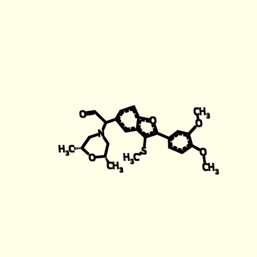 COc1ccc(-c2oc3ccc(C(C=O)N4C[C@@H](C)O[C@@H](C)C4)cc3c2SC)cc1OC